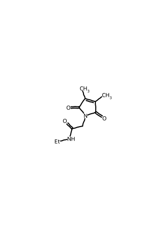 CCNC(=O)CN1C(=O)C(C)=C(C)C1=O